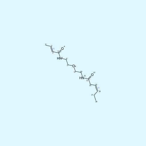 C/C=C/C(=O)NCCOCCNC(=O)C/C=C\CC